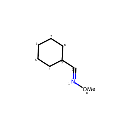 CON=CC1CCCCC1